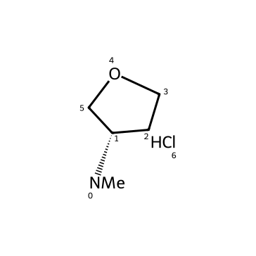 CN[C@H]1CCOC1.Cl